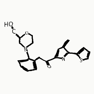 C=C1C=C(C(=O)Cc2ccccc2N2CCOC(CO)C2)N=C1c1cccs1